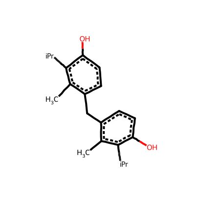 Cc1c(Cc2ccc(O)c(C(C)C)c2C)ccc(O)c1C(C)C